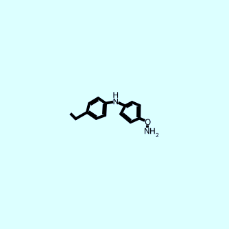 CCc1ccc(Nc2ccc(ON)cc2)cc1